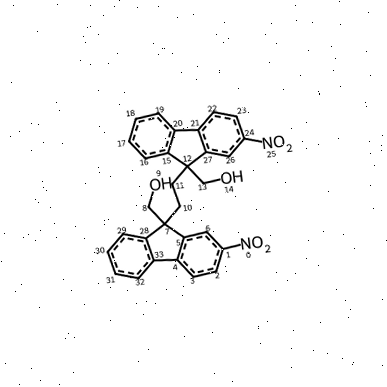 O=[N+]([O-])c1ccc2c(c1)C(CO)(CCC1(CO)c3ccccc3-c3ccc([N+](=O)[O-])cc31)c1ccccc1-2